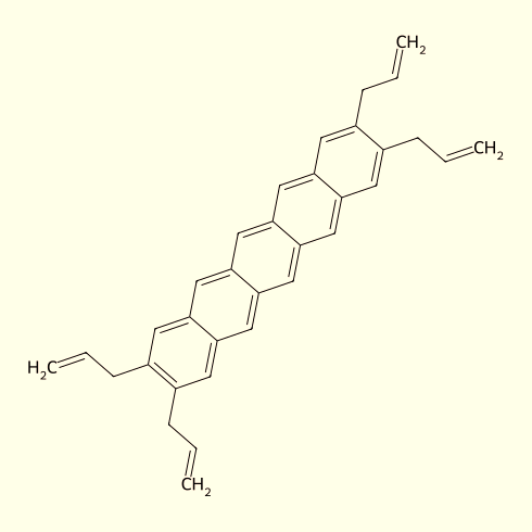 C=CCc1cc2cc3cc4cc5cc(CC=C)c(CC=C)cc5cc4cc3cc2cc1CC=C